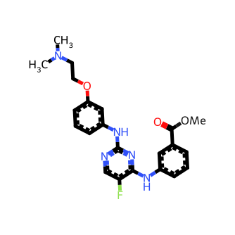 COC(=O)c1cccc(Nc2nc(Nc3cccc(OCCN(C)C)c3)ncc2F)c1